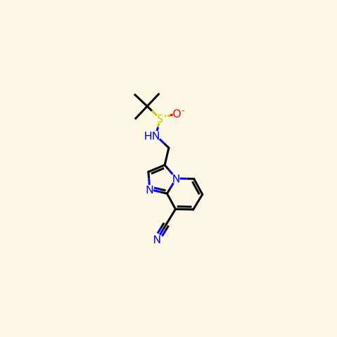 CC(C)(C)[S+]([O-])NCc1cnc2c(C#N)cccn12